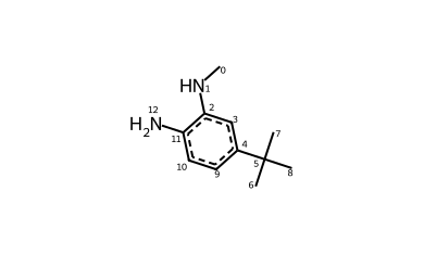 CNc1cc(C(C)(C)C)ccc1N